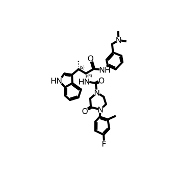 Cc1cc(F)ccc1N1CCN(C(=O)N[C@@H](C(=O)Nc2cccc(CN(C)C)c2)[C@@H](C)c2c[nH]c3ccccc23)CC1=O